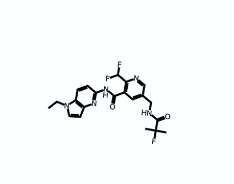 CCn1ccc2nc(NC(=O)c3cc(CNC(=O)C(C)(C)F)cnc3C(F)F)ccc21